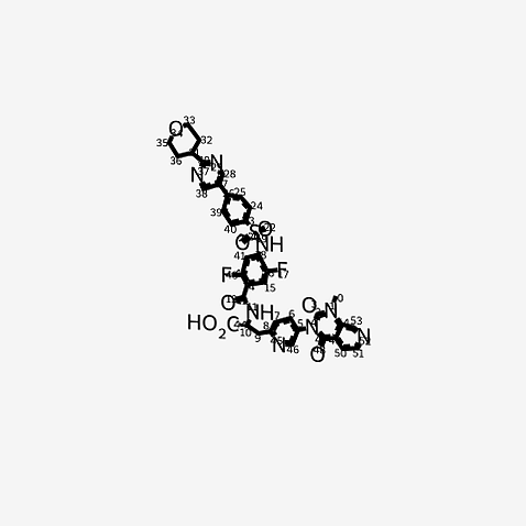 Cn1c(=O)n(-c2ccc(C[C@H](NC(=O)c3cc(F)c(NS(=O)(=O)c4ccc(-c5cnc(C6CCOCC6)nc5)cc4)cc3F)C(=O)O)nc2)c(=O)c2ccncc21